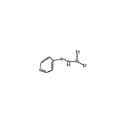 CCN(CC)NNc1ccccc1